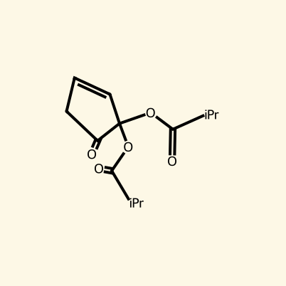 CC(C)C(=O)OC1(OC(=O)C(C)C)C=CCC1=O